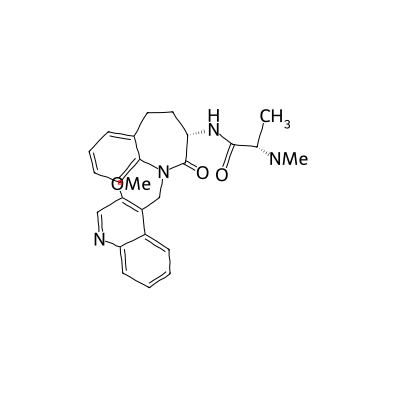 CN[C@@H](C)C(=O)N[C@H]1CCc2ccccc2N(Cc2c(OC)cnc3ccccc23)C1=O